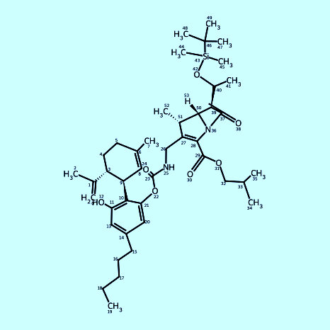 C=C(C)[C@@H]1CCC(C)=C[C@H]1c1c(O)cc(CCCCC)cc1OC(=O)NCC1=C(C(=O)OCC(C)C)N2C(=O)[C@H](C(C)O[Si](C)(C)C(C)(C)C)[C@H]2[C@H]1C